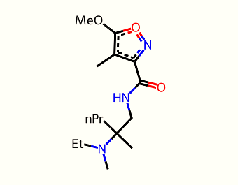 CCCC(C)(CNC(=O)c1noc(OC)c1C)N(C)CC